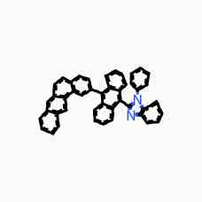 c1ccc(-n2c(-c3c4ccccc4c(-c4ccc5ccc6cc7ccccc7cc6c5c4)c4ccccc34)nc3ccccc32)cc1